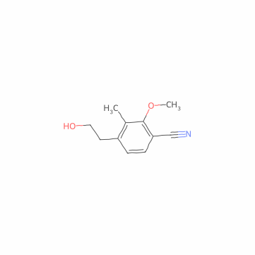 COc1c(C#N)ccc(CCO)c1C